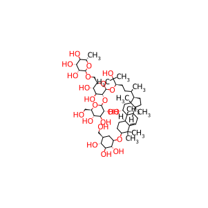 C[C@H](CC[C@@H](O[C@@H]1O[C@H](CO[C@@H]2O[C@@H](C)[C@H](O)[C@@H](O)[C@H]2O)[C@@H](O)[C@H](O)[C@H]1O[C@@H]1O[C@H](CO)[C@@H](O)[C@H](O)[C@H]1O)C(C)(C)O)[C@H]1CC[C@@]2(C)[C@@H]3CC=C4[C@@H](CC[C@H](O[C@@H]5C[C@H](CO)[C@@H](O)[C@H](O)[C@H]5O)C4(C)C)[C@]3(C)[C@H](O)C[C@]12C